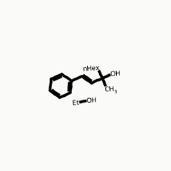 CCCCCCC(C)(O)C=Cc1ccccc1.CCO